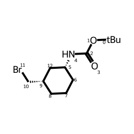 CC(C)(C)OC(=O)N[C@@H]1CCC[C@H](CBr)C1